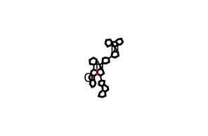 c1cc(-c2ccc(N(c3ccc(-c4ccc5c(ccc6ccccc65)c4)cc3)c3ccccc3-c3ccc4c(c3)oc3ccccc34)cc2)cc(-n2c3ccccc3c3ccccc32)c1